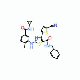 Cc1ccc(C(=O)NC2CC2)cc1Nc1nc(-c2ccc(C#N)s2)c(C(=O)NCC2C=CC=CC2)s1